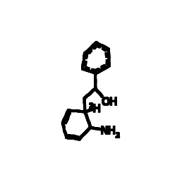 [2H]C1(CC(O)c2ccccc2)C=CC=CC1N